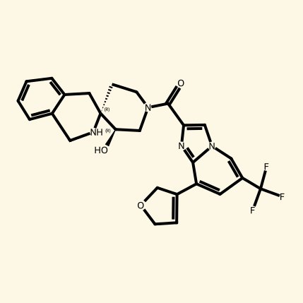 O=C(c1cn2cc(C(F)(F)F)cc(C3=CCOC3)c2n1)N1CC[C@]2(Cc3ccccc3CN2)[C@H](O)C1